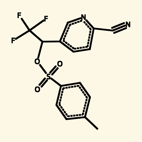 Cc1ccc(S(=O)(=O)OC(c2ccc(C#N)nc2)C(F)(F)F)cc1